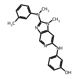 Cc1cccc(N(C)c2nc3cnc(Nc4cccc(O)c4)cc3n2C)c1